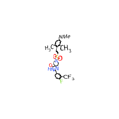 CNc1cc(C)c(/C=C/S(=O)(=O)N2CCC3(CC2)N=C(c2ccc(F)c(C(F)(F)F)c2)NC3=O)c(C)c1